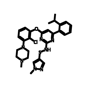 CC(C)c1ccccc1-c1cc(Oc2cccc(N3CCN(C)CC3)c2Cl)nc(NSc2cnn(C)c2)n1